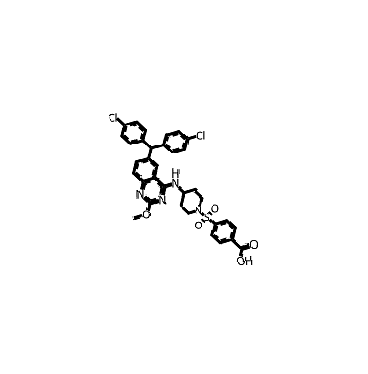 COc1nc(NC2CCN(S(=O)(=O)c3ccc(C(=O)O)cc3)CC2)c2cc(C(c3ccc(Cl)cc3)c3ccc(Cl)cc3)ccc2n1